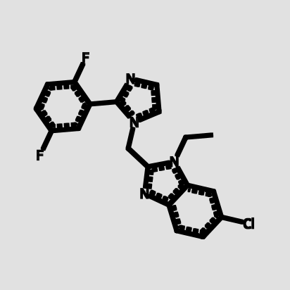 CCn1c(Cn2ccnc2-c2cc(F)ccc2F)nc2ccc(Cl)cc21